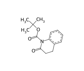 CC(C)(C)OC(=O)N1C(=O)CCc2ccccc21